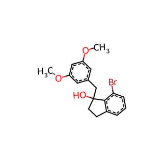 COc1cc(CC2(O)CCc3cccc(Br)c32)cc(OC)c1